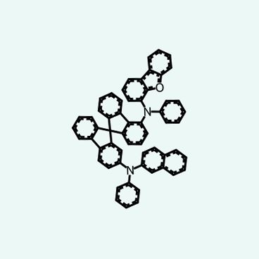 c1ccc(N(c2ccc3c(c2)C2(c4ccccc4-3)c3ccccc3-c3c(N(c4ccccc4)c4cccc5c4oc4ccccc45)cccc32)c2ccc3ccccc3c2)cc1